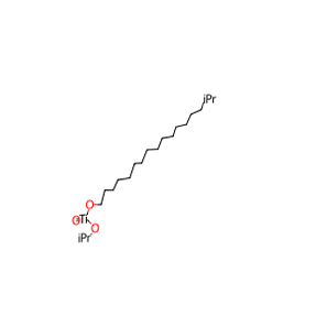 CC(C)CCCCCCCCCCCCCCC[O][Ti](=[O])[O]C(C)C